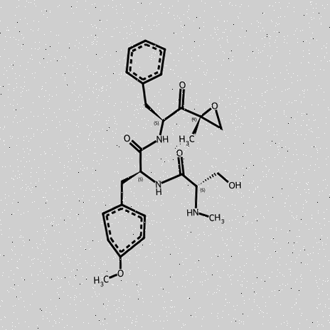 CN[C@@H](CO)C(=O)N[C@@H](Cc1ccc(OC)cc1)C(=O)N[C@@H](Cc1ccccc1)C(=O)[C@@]1(C)CO1